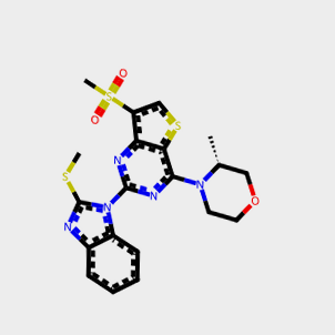 CSc1nc2ccccc2n1-c1nc(N2CCOC[C@H]2C)c2scc(S(C)(=O)=O)c2n1